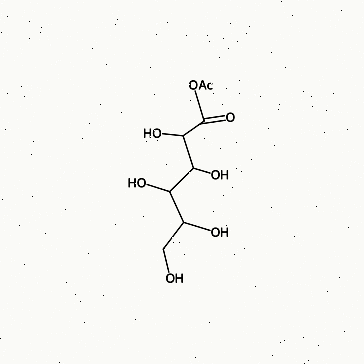 CC(=O)OC(=O)C(O)C(O)C(O)C(O)CO